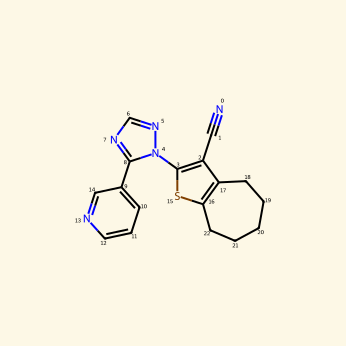 N#Cc1c(-n2ncnc2-c2cccnc2)sc2c1CCCCC2